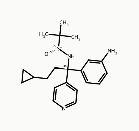 CC(C)(C)[S@@+]([O-])N[C@@](CCC1CC1)(c1ccncc1)c1cccc(N)c1